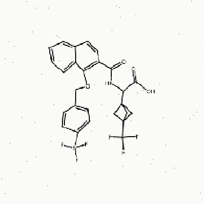 O=C(NC(C(=O)O)C12CC(C(F)(F)F)(C1)C2)c1ccc2ccccc2c1OCc1ccc(S(F)(F)F)cc1